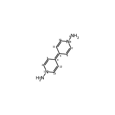 NN1C=CC(=C2C=CN(N)C=C2)C=C1